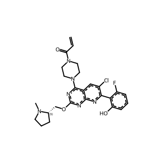 C=CC(=O)N1CCN(c2nc(OC[C@@H]3CCCN3C)nc3nc(-c4c(O)cccc4F)c(Cl)cc23)CC1